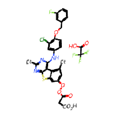 CCc1nc(Nc2ccc(OCc3cccc(F)c3)c(Cl)c2)c2c(n1)sc1cc(OOC(=O)CC(=O)O)cc(CC)c12.O=C(O)C(F)(F)F